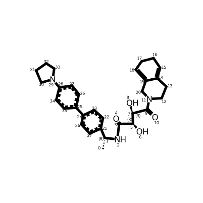 C[C@@H](NC(=O)[C@H](O)[C@@H](O)C(=O)N1CCC2=CCCC=C2C1)c1ccc(-c2ccc(N3CCCC3)cc2)cc1